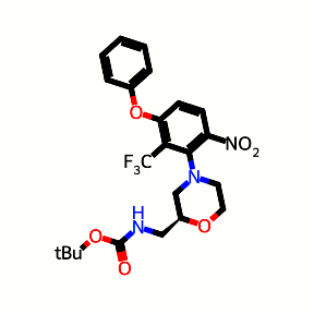 CC(C)(C)OC(=O)NC[C@H]1CN(c2c([N+](=O)[O-])ccc(Oc3ccccc3)c2C(F)(F)F)CCO1